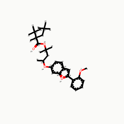 COc1ccccc1-c1cc2ccc(OC(C)CC(C)(C)OC(=O)C(C)(CC(C)(C)C)C(C)(C)C)cc2o1